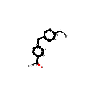 CCC(=O)c1ccc(Cc2ccc(CC(C)=O)cc2)cc1